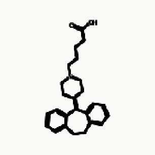 O=C(O)CCCCN1CCC(=C2c3ccccc3CCc3ccccc32)CC1